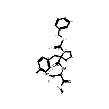 COC(=O)[C@H](NC(=O)C1(Cc2ccc(C)cc2)CCCN1C(=O)OCc1ccccc1)[C@H](C)O